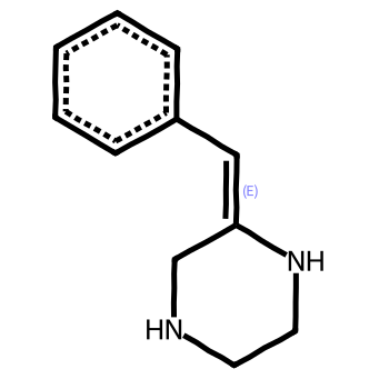 C(=C1/CNCCN1)/c1ccccc1